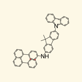 CC1(C)c2cc(Nc3ccc(-c4cccc5cccc(-c6ccccc6)c45)cc3)ccc2-c2ccc(-n3c4ccccc4c4ccccc43)cc21